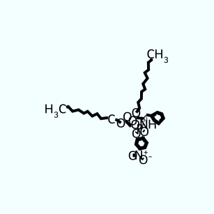 CCCCCCCCCCCCOC(=O)COP(=O)(N[C@@H](Cc1ccccc1)C(=O)OCCCCCCCCCCCC)Oc1ccc([N+](=O)[O-])cc1